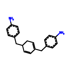 Nc1ccc(CC2=CCC(Cc3ccc(N)cc3)C=C2)cc1